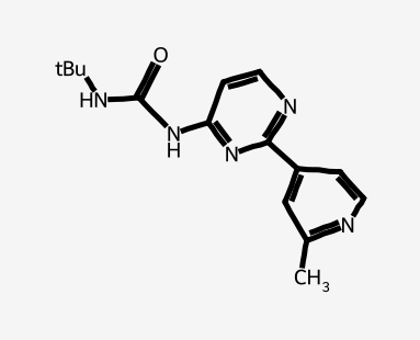 Cc1cc(-c2nccc(NC(=O)NC(C)(C)C)n2)ccn1